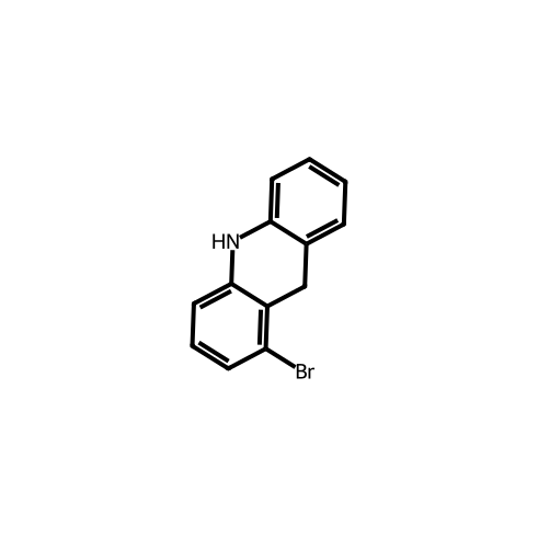 Brc1cccc2c1Cc1ccccc1N2